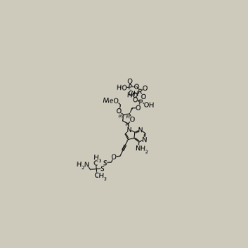 COCO[C@@H]1C[C@H](n2cc(C#CCOCSSC(C)(C)CN)c3c(N)ncnc32)O[C@@H]1COP(=O)(O)OP(=O)(O)OP(=O)(O)O